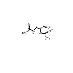 CC(=O)NCC([C]=O)OC(C)=O